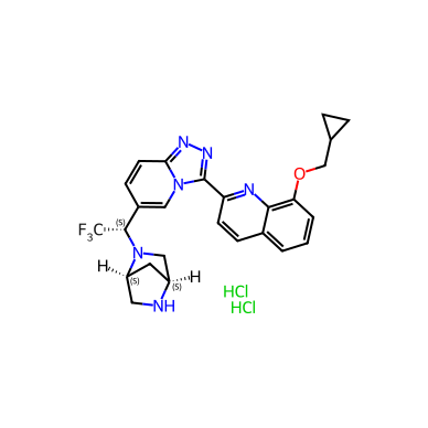 Cl.Cl.FC(F)(F)[C@H](c1ccc2nnc(-c3ccc4cccc(OCC5CC5)c4n3)n2c1)N1C[C@@H]2C[C@H]1CN2